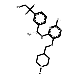 CC(=O)N1CCC(COc2cnc(C)nc2N[C@H](C)c2cccc(C(F)(F)CO)c2)CC1